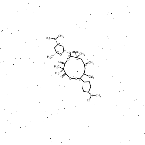 CCN(C)[C@H]1CC[C@H]([C@H]2COC(=O)C(C)(C)C(=O)C[C@@H](O[C@H]3C[C@@H](N(C)C)C[C@@H](C)O3)[C@](C)(OC)C[C@@H](C)CN2C)CC1